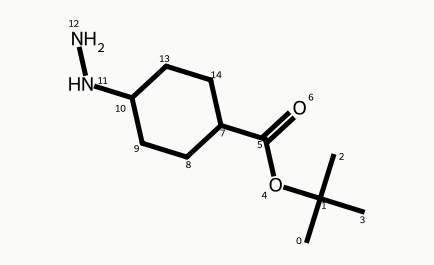 CC(C)(C)OC(=O)C1CCC(NN)CC1